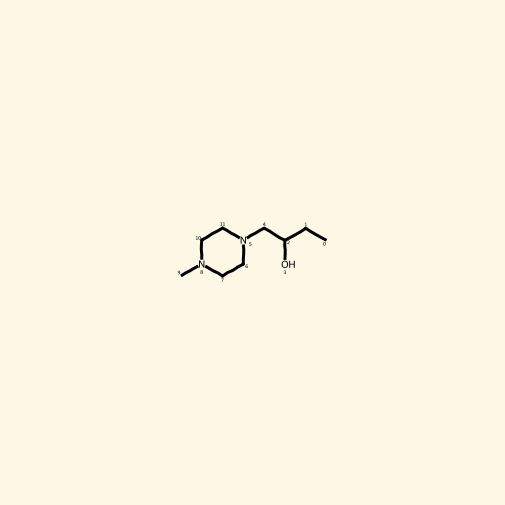 CCC(O)CN1CCN(C)CC1